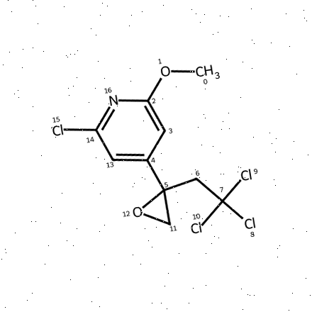 COc1cc(C2(CC(Cl)(Cl)Cl)CO2)cc(Cl)n1